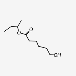 CCC(C)OC(=O)CCCCCO